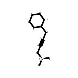 CN(C)CC#CCC1CC[CH]CC1